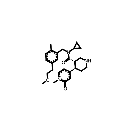 COCCc1ccc(C)c(CN(C(=O)[C@@H]2CNCC[C@H]2c2ccn(C)c(=O)c2)C2CC2)c1